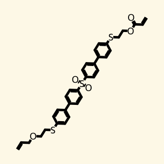 C=CCOCCSc1ccc(-c2ccc(S(=O)(=O)c3ccc(-c4ccc(SCCOC(=O)C=C)cc4)cc3)cc2)cc1